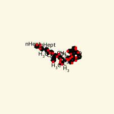 CCCCCCCC1(CCCCCCC)c2ccccc2-c2ccc(-c3ccc4c(c3)C(C)(C)c3cc(-c5cc6c(c7c5oc5ccccc57)-c5ccc(CC(Cc7ccc8c(c7)C7(c9ccccc9-c9ccccc97)c7cc9c(cc7-8)C7(c8ccccc8-c8ccccc87)c7ccc8oc%10ccccc%10c8c7-9)c7c(C)cc(C)cc7C)cc5C6(C)C)ccc3-4)cc21